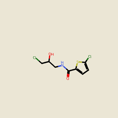 O=C(NCC(O)CCl)c1ccc(Cl)s1